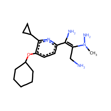 CN(N)/C(CN)=C(\N)c1ccc(OC2CCCCC2)c(C2CC2)n1